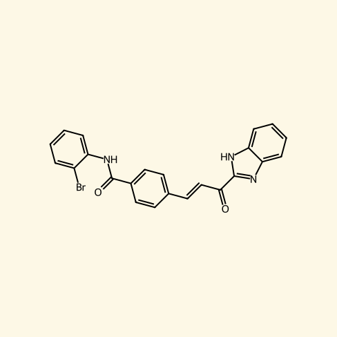 O=C(Nc1ccccc1Br)c1ccc(C=CC(=O)c2nc3ccccc3[nH]2)cc1